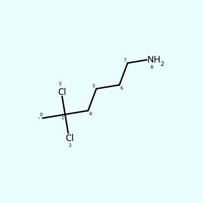 [CH2]C(Cl)(Cl)CCCCN